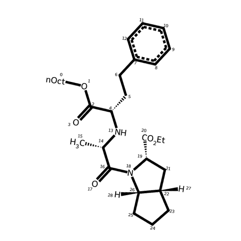 CCCCCCCCOC(=O)[C@H](CCc1ccccc1)N[C@@H](C)C(=O)N1[C@H](C(=O)OCC)C[C@@H]2CCC[C@@H]21